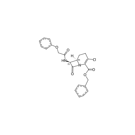 O=C(COc1ccccc1)N[C@@H]1C(=O)N2C(C(=O)OCc3ccccc3)=C(Cl)CC[C@H]12